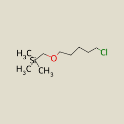 C[Si](C)(C)COCCCCCCl